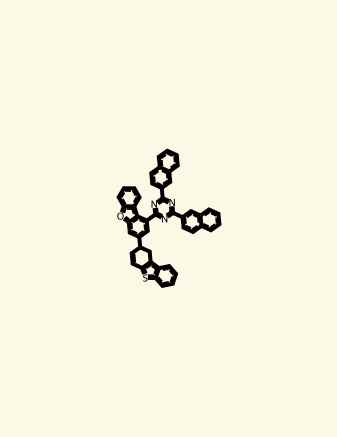 C1=CC(c2cc(-c3nc(-c4ccc5ccccc5c4)nc(-c4ccc5ccccc5c4)n3)c3c(c2)oc2ccccc23)Cc2c1sc1ccccc21